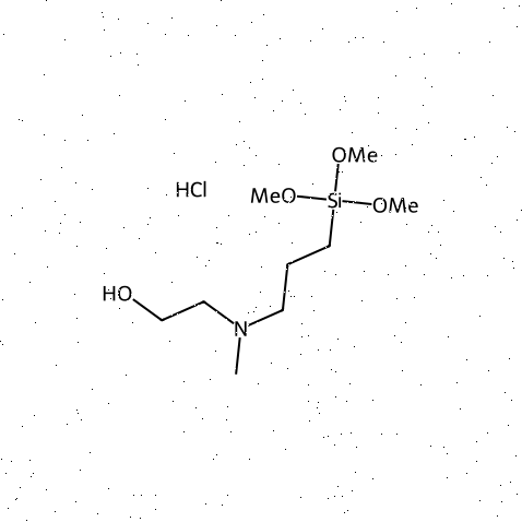 CO[Si](CCCN(C)CCO)(OC)OC.Cl